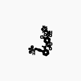 C[C@H](c1ccccc1C#CCNS(C)(=O)=O)n1c(=O)oc2cc(S(=O)(=O)Nc3ncns3)c(Cl)cc21